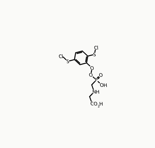 O=C(O)CNCP(=O)(O)OOc1cc(SCl)ccc1SCl